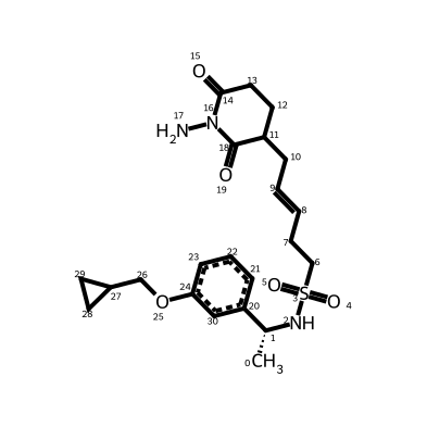 C[C@@H](NS(=O)(=O)CC/C=C/CC1CCC(=O)N(N)C1=O)c1cccc(OCC2CC2)c1